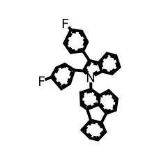 Fc1ccc(-c2c(-c3ccc(F)cc3)n(-c3ccc4c5c(cccc35)-c3ccccc3-4)c3ccccc23)cc1